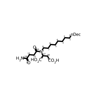 CCCCCCCCCCCCCCCCCCN(C(=O)CCC(N)=O)C(CC(=O)O)C(=O)O